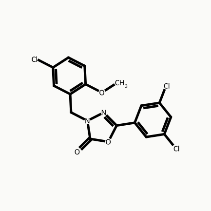 COc1ccc(Cl)cc1Cn1nc(-c2cc(Cl)cc(Cl)c2)oc1=O